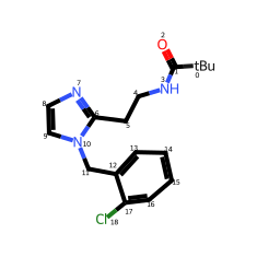 CC(C)(C)C(=O)NCCc1nccn1Cc1ccccc1Cl